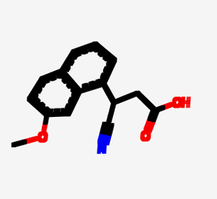 COc1ccc2cccc(C(C#N)CC(=O)O)c2c1